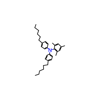 CCCCCCc1ccc(N(c2ccc(CCCCCC)cc2)c2c(C)cc(C)cc2C)cc1